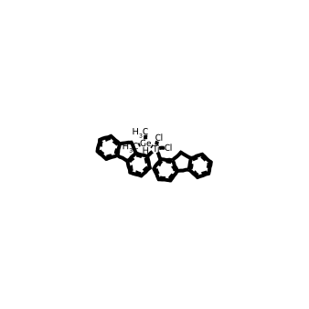 [CH3][GeH]([CH3])[Ti]([Cl])([Cl])([c]1cccc2c1Cc1ccccc1-2)[c]1cccc2c1Cc1ccccc1-2